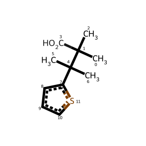 CC(C)(C(=O)O)C(C)(C)c1cccs1